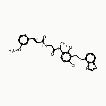 COc1cccc(/C=C/C(=O)NCC(=O)N(C)c2ccc(Cl)c(COc3cccc4scnc34)c2Cl)c1